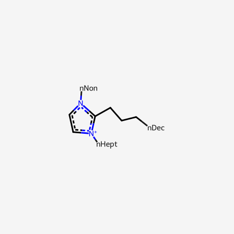 CCCCCCCCCCCCCc1n(CCCCCCCCC)cc[n+]1CCCCCCC